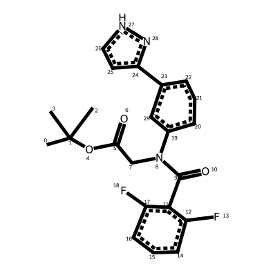 CC(C)(C)OC(=O)CN(C(=O)c1c(F)cccc1F)c1cccc(-c2cc[nH]n2)c1